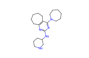 C1CCc2nc(NC3CCCNC3)nc(N3CCCCCC3)c2CC1